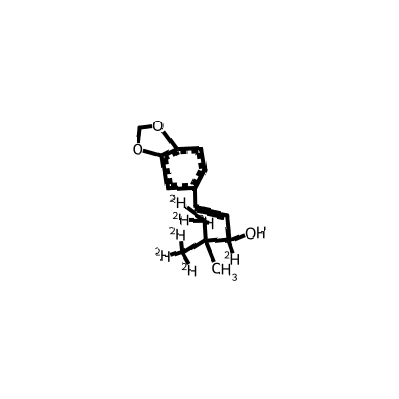 [2H]C([2H])([2H])C(C)(C([2H])([2H])[2H])C([2H])(O)/C=C/c1ccc2c(c1)OCO2